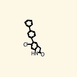 O=C1Cc2cc(-c3ccc(-c4ccccc4)cc3)c(Cl)cc2N1